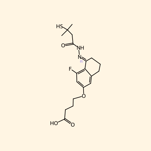 CC(C)(S)CC(=O)N/N=C1\CCCc2cc(OCCCC(=O)O)cc(F)c21